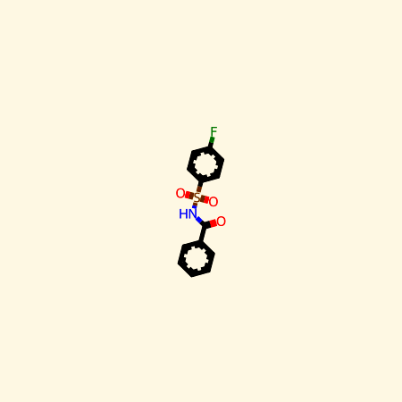 O=C(NS(=O)(=O)c1ccc(F)cc1)c1ccccc1